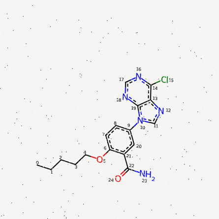 CCCCCOc1ccc(-n2cnc3c(Cl)ncnc32)cc1C(N)=O